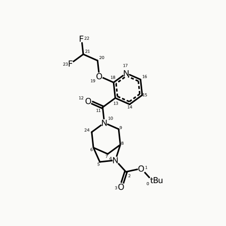 CC(C)(C)OC(=O)N1CC2CC1CN(C(=O)c1cccnc1OCC(F)F)C2